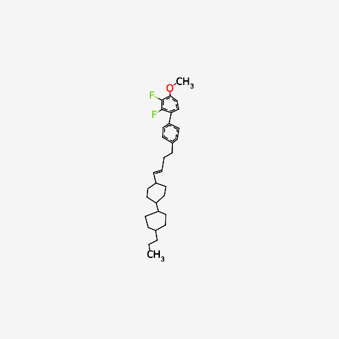 CCCC1CCC(C2CCC(/C=C/CCc3ccc(-c4ccc(OC)c(F)c4F)cc3)CC2)CC1